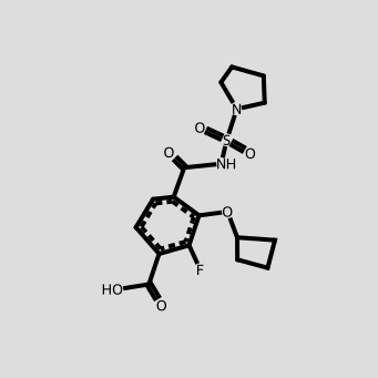 O=C(O)c1ccc(C(=O)NS(=O)(=O)N2CCCC2)c(OC2CCC2)c1F